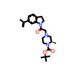 C=C(C)c1ccc2c(c1)N(C(=O)CN1CCN(C(=O)OC(C)(C)C)[C@H](C)C1)CC2